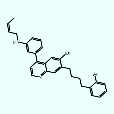 C/C=C\CNc1cccc(-c2ccnc3cc(CCCCc4ccccc4C(C)=O)c(CC)cc23)c1